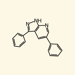 c1ccc(-c2cnc3[nH]nc(-c4ccccc4)c3c2)cc1